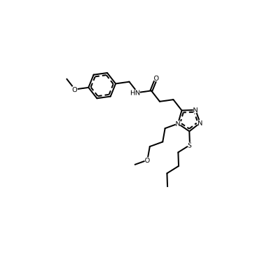 CCCCSc1nnc(CCC(=O)NCc2ccc(OC)cc2)n1CCCOC